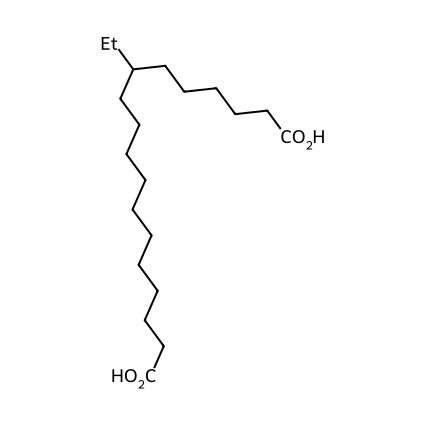 CCC(CCCCCCCCCCC(=O)O)CCCCCC(=O)O